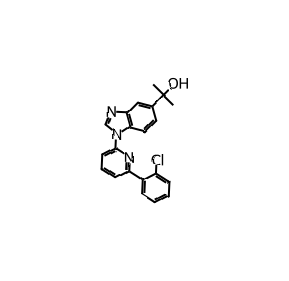 CC(C)(O)c1ccc2c(c1)ncn2-c1cccc(-c2ccccc2Cl)n1